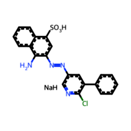 Nc1c(/N=N/c2cnc(Cl)c(-c3ccccc3)c2)cc(S(=O)(=O)O)c2ccccc12.[NaH]